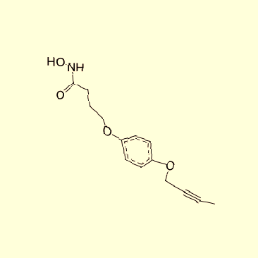 CC#CCOc1ccc(OCCCC(=O)NO)cc1